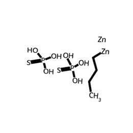 CCC[CH2][Zn].OP(O)(O)=S.OP(O)(O)=S.[Zn]